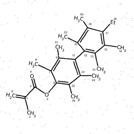 C=C(C)C(=O)Oc1c(C)c(C)c(-c2c(C)c(C)c(CC)c(C)c2C)c(C)c1C